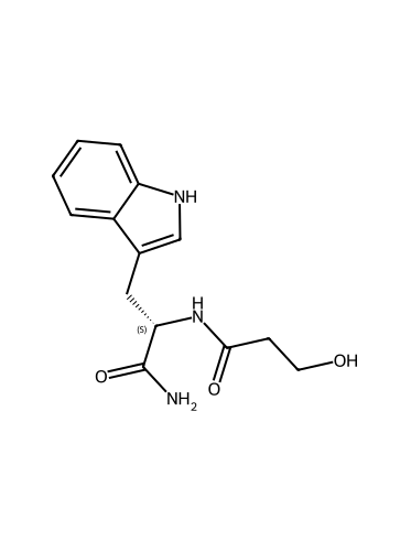 NC(=O)[C@H](Cc1c[nH]c2ccccc12)NC(=O)CCO